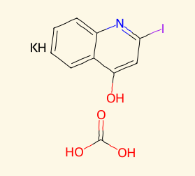 O=C(O)O.Oc1cc(I)nc2ccccc12.[KH]